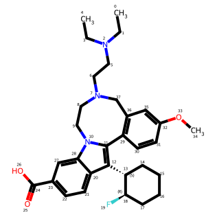 CCN(CC)CCN1CCn2c(c([C@@H]3CCCC[C@H]3F)c3ccc(C(=O)O)cc32)-c2ccc(OC)cc2C1